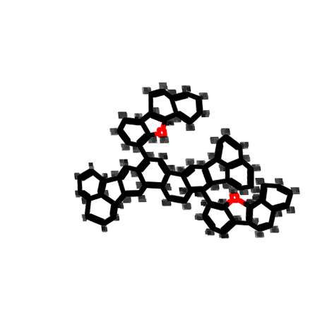 c1cc2c3c(cccc3c1)-c1cc3c(cc1-2)c(-c1cccc2c1oc1c4ccccc4ccc21)cc1c2cc4c(c(-c5cccc6c5oc5c7ccccc7ccc65)c2ccc31)-c1cccc2cccc-4c12